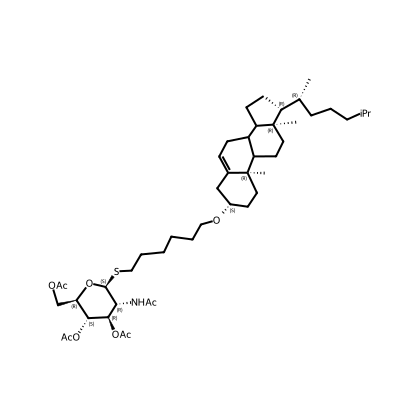 CC(=O)N[C@@H]1[C@@H](OC(C)=O)[C@H](OC(C)=O)[C@@H](COC(C)=O)O[C@H]1SCCCCCCO[C@H]1CC[C@@]2(C)C(=CCC3C2CC[C@@]2(C)C3CC[C@@H]2[C@H](C)CCCC(C)C)C1